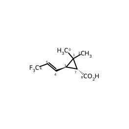 CC1(C)[C@H](C=CC(F)(F)F)[C@H]1C(=O)O